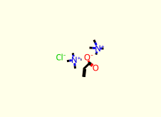 C=CC(=O)[O-].C[N+](C)(C)C.C[N+](C)(C)C.[Cl-]